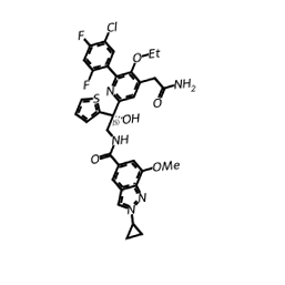 CCOc1c(CC(N)=O)cc([C@@](O)(CNC(=O)c2cc(OC)c3nn(C4CC4)cc3c2)c2cccs2)nc1-c1cc(Cl)c(F)cc1F